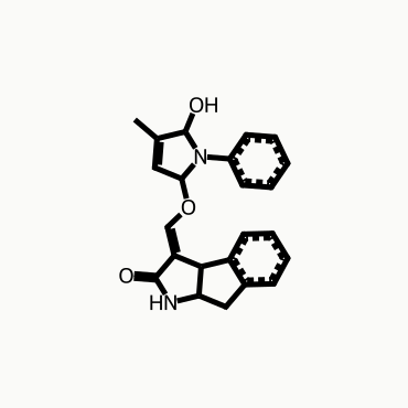 CC1=CC(O/C=C2/C(=O)NC3Cc4ccccc4C23)N(c2ccccc2)C1O